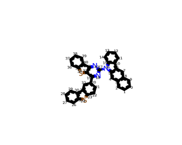 c1ccc2cc3c(cc2c1)c1ccccc1n3-c1nc(-c2ccc3sc4ccccc4c3c2)c2sc3ccccc3c2n1